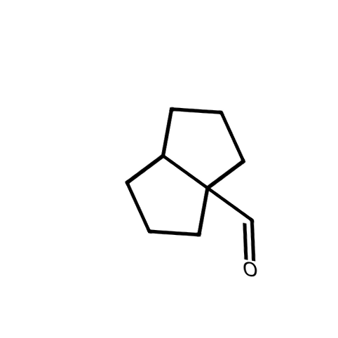 O=CC12CCCC1CCC2